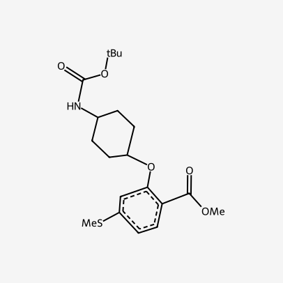 COC(=O)c1ccc(SC)cc1OC1CCC(NC(=O)OC(C)(C)C)CC1